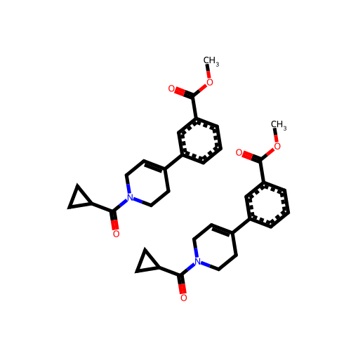 COC(=O)c1cccc(C2=CCN(C(=O)C3CC3)CC2)c1.COC(=O)c1cccc(C2=CCN(C(=O)C3CC3)CC2)c1